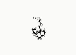 C=CCOCc1cccc2ccc3cccn3c12